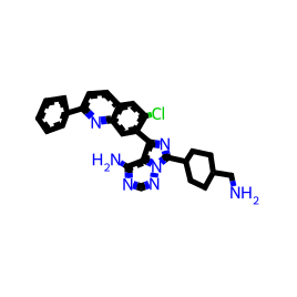 NCC1CCC(c2nc(-c3cc4nc(-c5ccccc5)ccc4cc3Cl)c3c(N)ncnn23)CC1